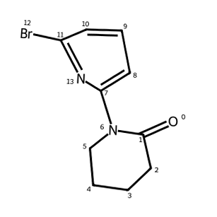 O=C1CCCCN1c1cccc(Br)n1